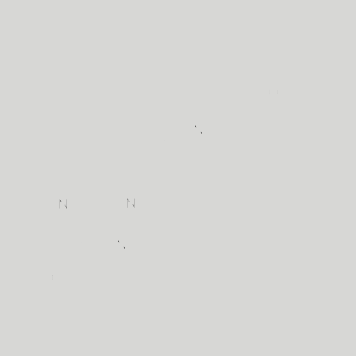 C[C@@H]1CN(c2ccc3nc(Cl)nn3c2)CCO1